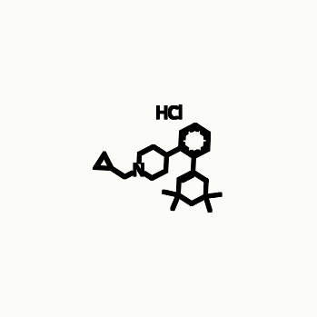 CC1(C)C=C(c2ccccc2C2CCN(CC3CC3)CC2)CC(C)(C)C1.Cl